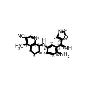 N#Cc1cnc2c(c1C(F)(F)F)CCCC2Nc1ccc(N)c(C(=N)c2cnco2)c1